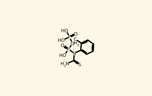 Cc1ccccc1N(C(N)=S)P(=O)(O)OP(=O)(O)O